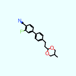 CC1COC(CCc2ccc(-c3ccc(C#N)c(F)c3)cc2)OC1